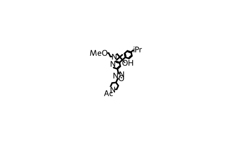 COCCN1CC(C)([C@](O)(c2ccc(C(C)C)cc2)c2cncc(-c3noc(C4CCN(C(C)=O)CC4)n3)c2)C1